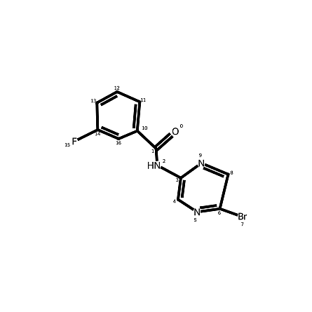 O=C(Nc1cnc(Br)cn1)c1cccc(F)c1